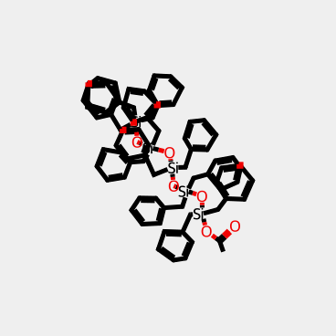 CC(=O)O[Si](Cc1ccccc1)(Cc1ccccc1)O[Si](Cc1ccccc1)(Cc1ccccc1)O[Si](Cc1ccccc1)(Cc1ccccc1)O[Si](Cc1ccccc1)(Cc1ccccc1)O[Si](Cc1ccccc1)(Cc1ccccc1)Cc1ccccc1